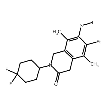 CCc1c(C)c2c(c(C)c1SI)CN(C1CCC(F)(F)CC1)C(=O)C2